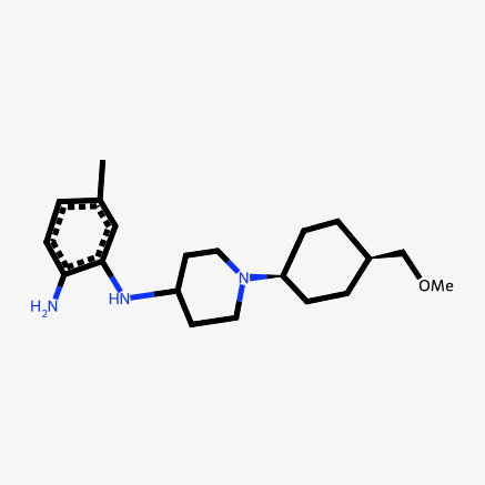 COC[C@H]1CC[C@@H](N2CCC(Nc3cc(C)ccc3N)CC2)CC1